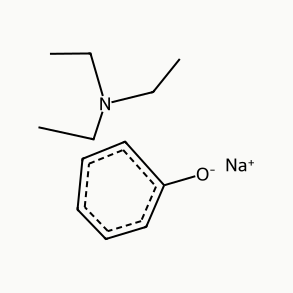 CCN(CC)CC.[Na+].[O-]c1ccccc1